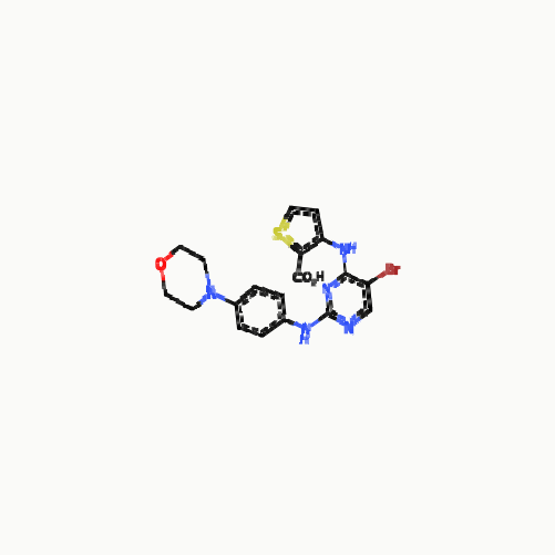 O=C(O)c1sccc1Nc1nc(Nc2ccc(N3CCOCC3)cc2)ncc1Br